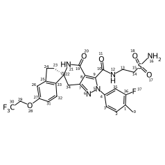 Cc1ccc(-n2nc3c(c2C(=O)NCCS(N)(=O)=O)C(=O)N[C@@]2(CCc4cc(OCC(F)(F)F)ccc42)C3)cc1F